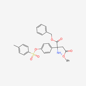 Cc1ccc(S(=O)(=O)Oc2ccc(C(N)(CC(=O)OC(C)C)C(=O)OCc3ccccc3)cc2)cc1